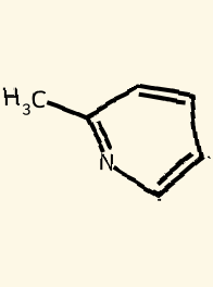 Cc1cc[c][c]n1